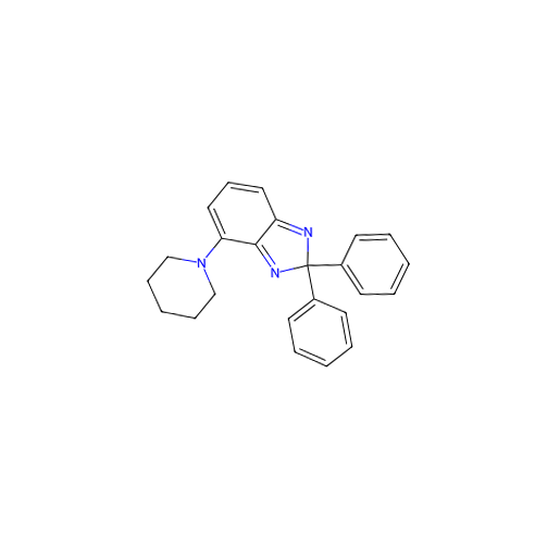 c1ccc(C2(c3ccccc3)N=c3cccc(N4CCCCC4)c3=N2)cc1